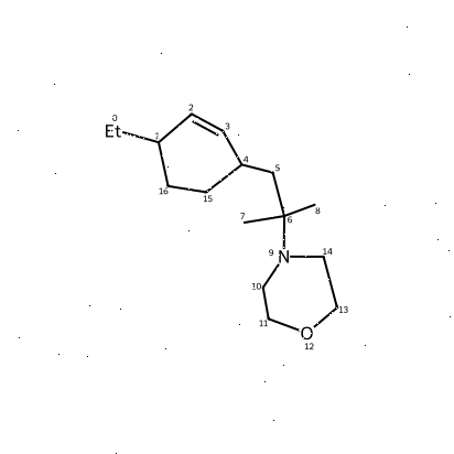 CCC1C=CC(CC(C)(C)N2CCOCC2)CC1